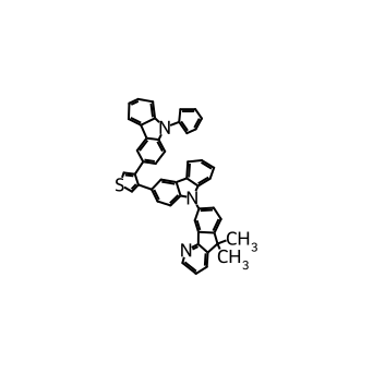 CC1(C)c2ccc(-n3c4ccccc4c4cc(-c5cscc5-c5ccc6c(c5)c5ccccc5n6-c5ccccc5)ccc43)cc2-c2ncccc21